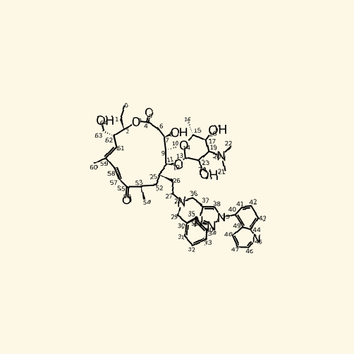 CC[C@H]1OC(=O)C[C@@H](O)[C@H](C)[C@@H](O[C@@H]2O[C@H](C)C(O)C(N(C)C)C2O)[C@@H](CCN(Cc2ccccc2)Cc2cn(-c3cccc4ncccc34)nn2)C[C@@H](C)C(=O)/C=C/C(C)=C/[C@@H]1CO